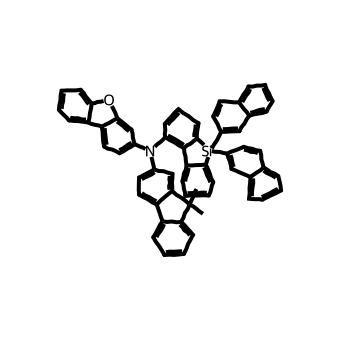 CC1(C)c2ccccc2-c2ccc(N(c3ccc4c(c3)oc3ccccc34)c3cccc4c3-c3ccccc3[Si]4(c3ccc4ccccc4c3)c3ccc4ccccc4c3)cc21